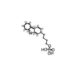 O=P(O)(O)OCCCCC1C=CC2=c3ccccc3=NC2=C1